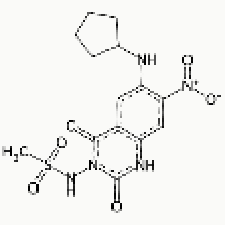 CS(=O)(=O)Nn1c(=O)[nH]c2cc([N+](=O)[O-])c(NC3CCCC3)cc2c1=O